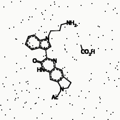 CC(=O)N1CCc2cc3nc(-c4cn(CCCN)c5ccccc45)c(=O)[nH]c3cc21.CC(=O)O